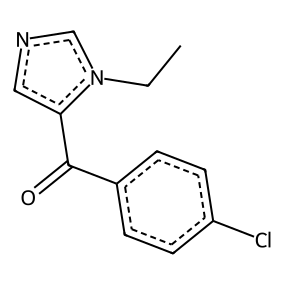 CCn1cncc1C(=O)c1ccc(Cl)cc1